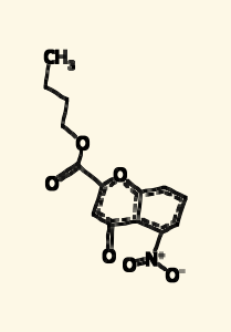 CCCCOC(=O)c1cc(=O)c2c([N+](=O)[O-])cccc2o1